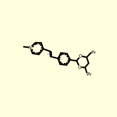 CC(C)C1CC(C(C)C)OC(c2ccc(/C=C/c3cc[n+](C)cc3)cc2)O1